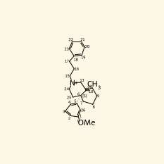 COc1cccc([C@@]23CCCC[C@]2(C)CN(CCCc2ccccc2)CC3)c1